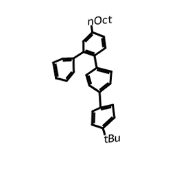 CCCCCCCCc1ccc(-c2ccc(-c3ccc(C(C)(C)C)cc3)cc2)c(-c2ccccc2)c1